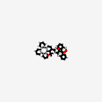 CC(C)(C)C1=C(c2ncc3c(n2)Oc2ccccc2C32c3ccccc3Oc3ccccc32)C=CN2B3C=CC=CN3B3C=CC=CN3B3C=CC=CN3B12